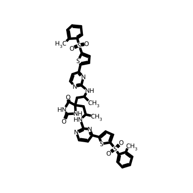 Cc1ccccc1S(=O)(=O)c1ccc(-c2ccnc(NC(C)CC3(CC(C)Nc4nccc(-c5ccc(S(=O)(=O)c6ccccc6C)s5)n4)NC(=O)NC3=O)n2)s1